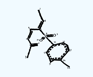 C=C(C)/C=C\C(=C/C)S(=O)(=O)c1ccc(C)cc1